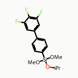 CO[Si](OC)(OC(C)C)c1ccc(-c2cc(F)c(F)c(F)c2)cc1